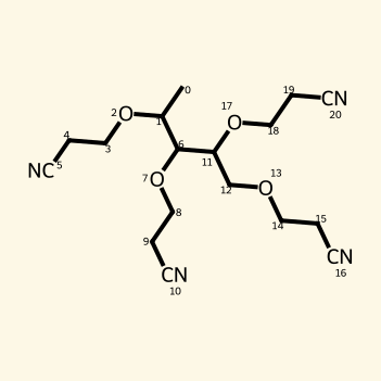 CC(OCCC#N)C(OCCC#N)C(COCCC#N)OCCC#N